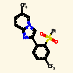 CCS(=O)(=O)c1cc(C(F)(F)F)ccc1-c1cn2cc(C(F)(F)F)ccc2n1